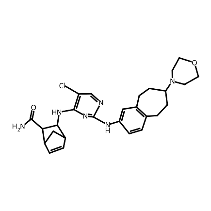 NC(=O)C1C2C=CC(C2)C1Nc1nc(Nc2ccc3c(c2)CCC(N2CCOCC2)CC3)ncc1Cl